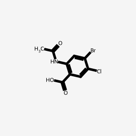 CC(=O)Nc1cc(Br)c(Cl)cc1C(=O)O